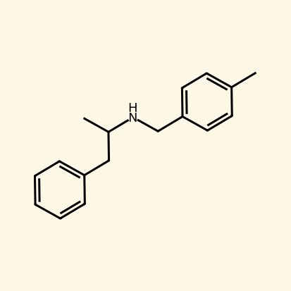 Cc1ccc(CNC(C)Cc2ccccc2)cc1